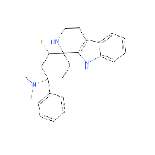 CN(C)C1(c2ccccc2)CCC2(NCCc3c2[nH]c2ccccc32)C(F)C1